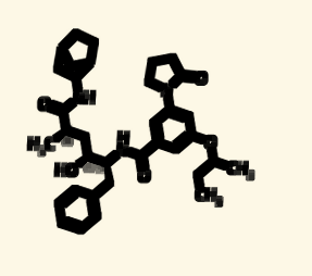 CCC(C)Oc1cc(C(=O)N[C@@H](Cc2ccccc2)[C@@H](O)C[C@@H](C)C(=O)NC2CC3CCC2C3)cc(N2CCCC2=O)c1